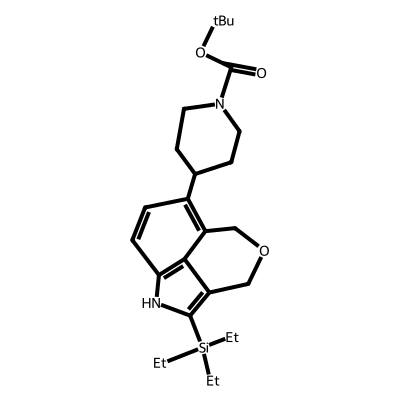 CC[Si](CC)(CC)c1[nH]c2ccc(C3CCN(C(=O)OC(C)(C)C)CC3)c3c2c1COC3